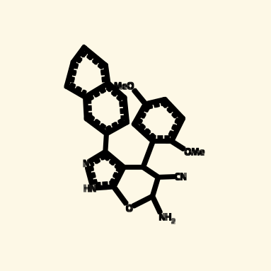 COc1ccc(OC)c(C2c3c(-c4ccc5ccccc5c4)n[nH]c3OC(N)C2C#N)c1